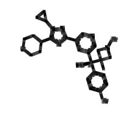 CC(C)c1ccc([C@](O)(c2cncc(-c3nc(C4CCOCC4)n(C4CC4)n3)c2)C2(C)CN(C(C)C)C2)cc1